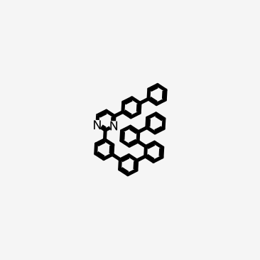 c1ccc(-c2ccc(-c3ccnc(-c4cccc(-c5cccc(-c6ccccc6-c6ccccc6-c6ccccc6)c5)c4)n3)cc2)cc1